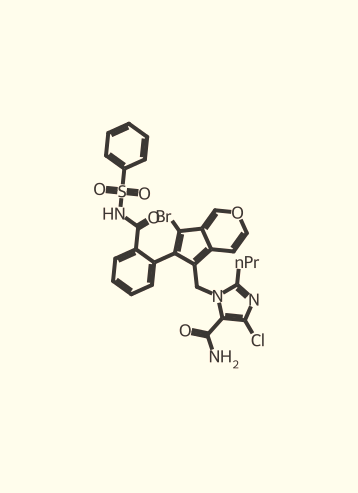 CCCc1nc(Cl)c(C(N)=O)n1Cc1c2ccocc-2c(Br)c1-c1ccccc1C(=O)NS(=O)(=O)c1ccccc1